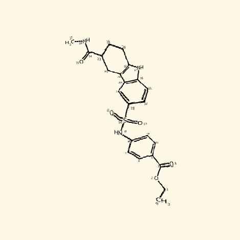 CCOC(=O)c1ccc(NS(=O)(=O)c2ccc3[nH]c4c(c3c2)CC(C(=O)NC)CC4)cc1